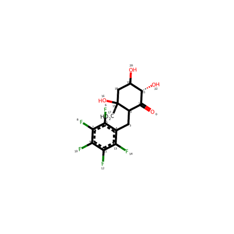 O=C1C(Cc2c(F)c(F)c(F)c(F)c2F)C(O)(C(=O)O)CC(O)[C@@H]1O